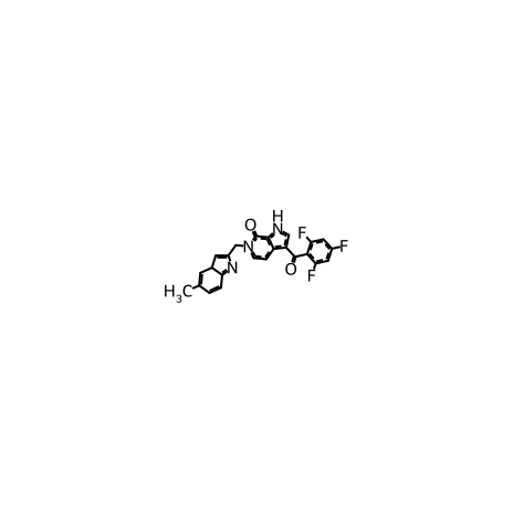 CC1=CC2C=C(Cn3ccc4c(C(=O)c5c(F)cc(F)cc5F)c[nH]c4c3=O)N=C2C=C1